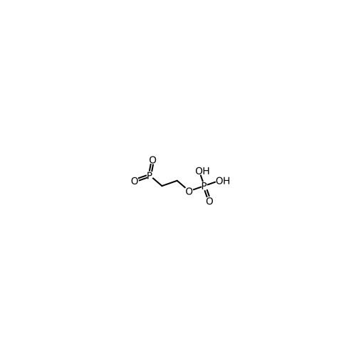 O=P(=O)CCOP(=O)(O)O